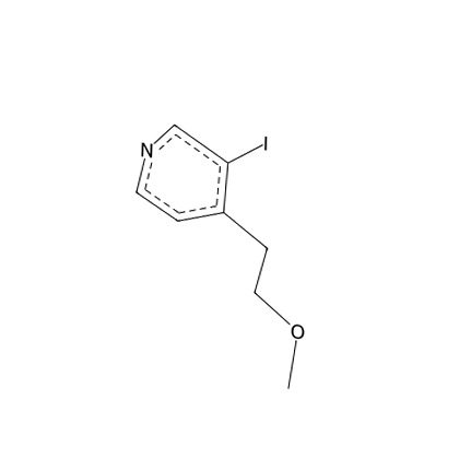 COCCc1ccncc1I